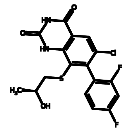 C[C@H](O)CSc1c(-c2ccc(F)cc2F)c(Cl)cc2c(=O)[nH]c(=O)[nH]c12